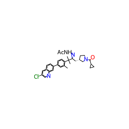 CC(=O)N/N=C(/C[C@@H]1CCN(C(=O)C2CC2)C1)C(C)(C)c1ccc(-c2ccc3cc(Cl)cnc3c2)cc1C